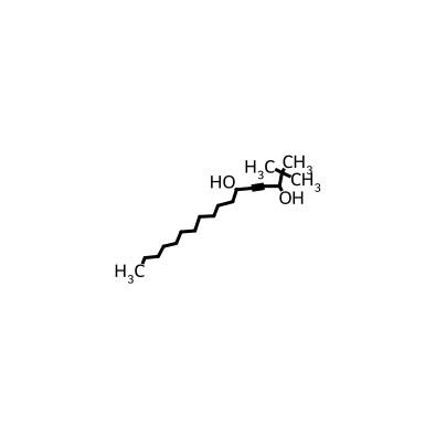 CCCCCCCCCCCC(O)C#CC(O)C(C)(C)C